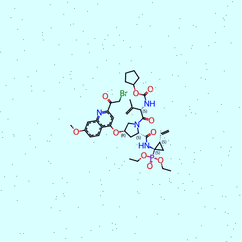 C=C[C@@H]1C[C@]1(NC(=O)[C@@H]1C[C@@H](Oc2cc(C(=O)CBr)nc3cc(OC)ccc23)CN1C(=O)[C@@H](NC(=O)OC1CCCC1)C(=C)C)P(=O)(OCC)OCC